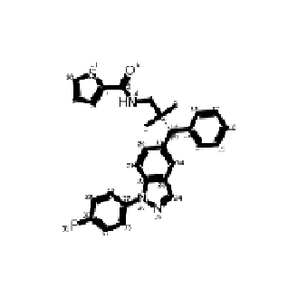 CC(C)(CNC(=O)c1cccs1)[C@H](c1ccccc1)c1ccc2c(cnn2-c2ccc(F)cc2)c1